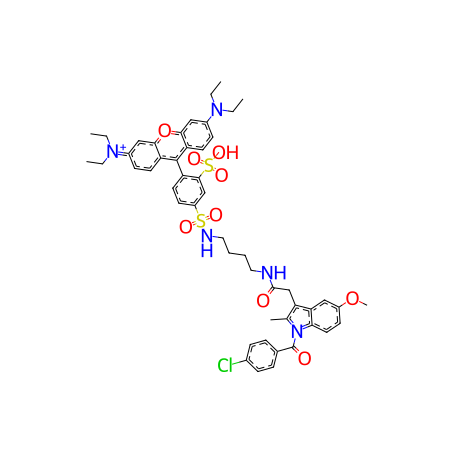 CCN(CC)c1ccc2c(-c3ccc(S(=O)(=O)NCCCCNC(=O)Cc4c(C)n(C(=O)c5ccc(Cl)cc5)c5ccc(OC)cc45)cc3S(=O)(=O)O)c3ccc(=[N+](CC)CC)cc-3oc2c1